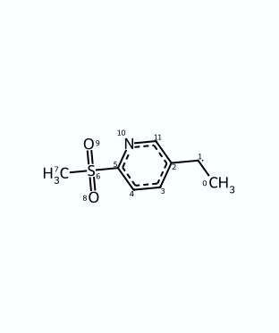 C[CH]c1ccc(S(C)(=O)=O)nc1